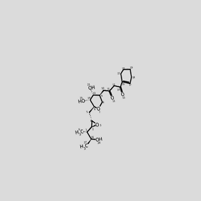 C[C@H]([C@@H]1O[C@H]1C[C@@H]1OC[C@H](CC(=O)CC(=O)C2=CCCCC2)[C@@H](O)[C@H]1O)[C@H](C)O